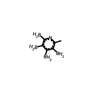 Bc1nc(C)c(B)c(B)c1B